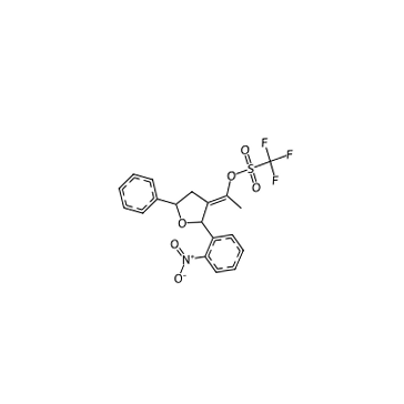 CC(OS(=O)(=O)C(F)(F)F)=C1CC(c2ccccc2)OC1c1ccccc1[N+](=O)[O-]